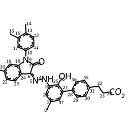 Cc1cc(NN=C2C(=O)N(c3ccc(C)c(C)c3)c3cc(C(F)(F)F)ccc32)c(O)c(-c2ccc(CCC(=O)O)cc2)c1